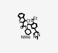 CCOc1ccc(-c2cnc(C)nc2)cc1CN(C(=O)c1sc2ccccc2c1Cl)[C@H]1CC[C@@H](NC)CC1